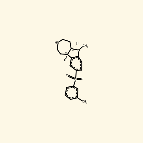 Cc1cccc(S(=O)(=O)c2ccc3c(c2)[C@H]2CCNCC[C@H]2N3C)c1